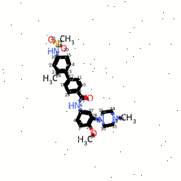 COc1ccc(NC(=O)c2ccc(-c3ccc(NS(C)(=O)=O)cc3C)cc2)cc1N1CCN(C)CC1